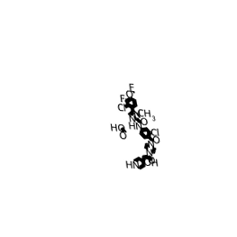 Cn1c(-c2ccc(OCF)c(F)c2Cl)cnc1C(=O)Nc1ccc(C(=O)N2CCN(C(=O)CC3(O)CCNCC3)CC2)c(Cl)c1.O=CO